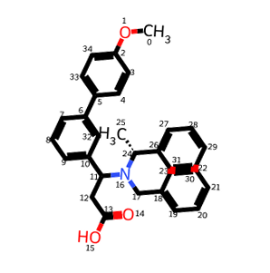 COc1ccc(-c2cccc(C(CC(=O)O)N(Cc3ccccc3)[C@H](C)c3ccccc3)c2)cc1